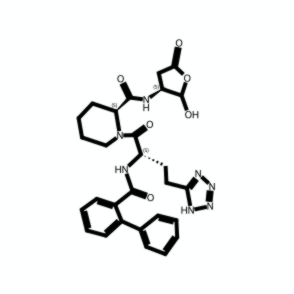 O=C1C[C@H](NC(=O)[C@@H]2CCCCN2C(=O)[C@H](CCc2nnn[nH]2)NC(=O)c2ccccc2-c2ccccc2)C(O)O1